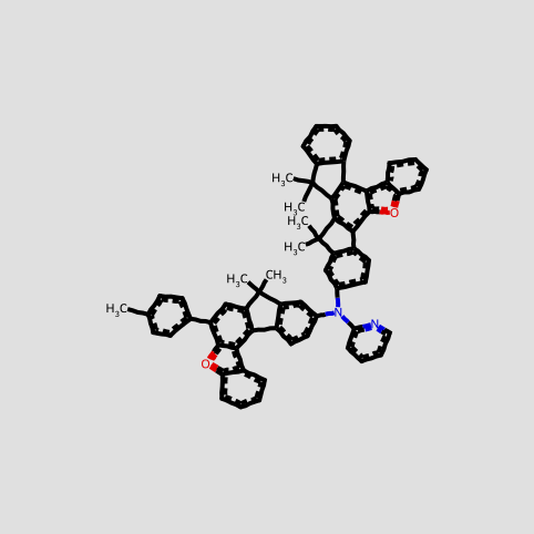 Cc1ccc(-c2cc3c(c4c2oc2ccccc24)-c2ccc(N(c4ccc5c(c4)C(C)(C)c4c6c(c7c(oc8ccccc87)c4-5)-c4ccccc4C6(C)C)c4ccccn4)cc2C3(C)C)cc1